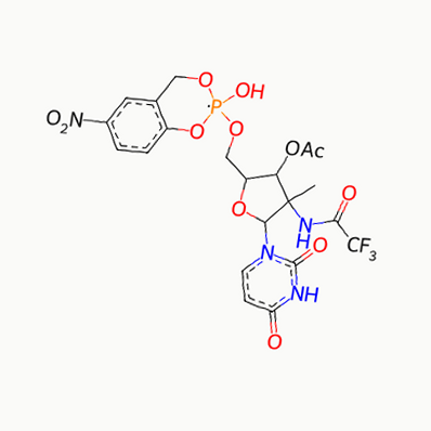 CC(=O)OC1C(CO[P]2(O)OCc3cc([N+](=O)[O-])ccc3O2)OC(n2ccc(=O)[nH]c2=O)C1(C)NC(=O)C(F)(F)F